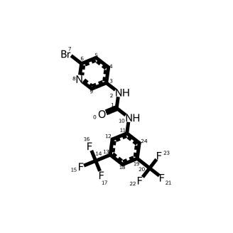 O=C(Nc1ccc(Br)nc1)Nc1cc(C(F)(F)F)cc(C(F)(F)F)c1